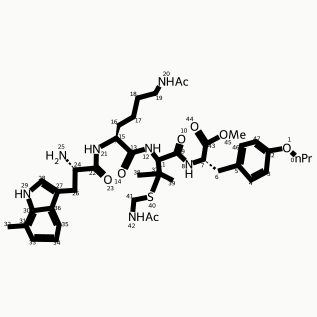 CCCOc1ccc(C[C@H](NC(=O)C(NC(=O)[C@H](CCCCNC(C)=O)NC(=O)[C@@H](N)Cc2c[nH]c3c(C)cccc23)C(C)(C)SCNC(C)=O)C(=O)OC)cc1